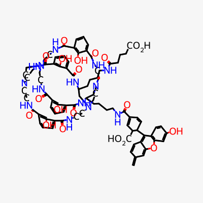 C=c1ccc2c(c1)Oc1cc(O)ccc1C=2C1C=CC(C(=O)NCCCCC2CN3CCNC(=O)c4cccc(c4O)C(=O)NCCN(CCNC(=O)c4cccc(c4O)C(=O)N2)CCN2CCNC(=O)c4cccc(c4O)C(=O)NCCN(CC3)CC(CCCCNC(=O)CCCC(=O)O)NC(=O)c3cccc(c3O)C(=O)NCC2)=CC1C(=O)O